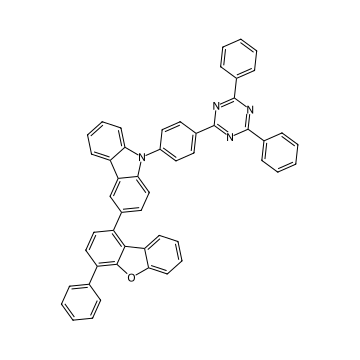 c1ccc(-c2nc(-c3ccccc3)nc(-c3ccc(-n4c5ccccc5c5cc(-c6ccc(-c7ccccc7)c7oc8ccccc8c67)ccc54)cc3)n2)cc1